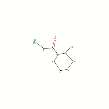 CC1CCCCC1C(=O)CBr